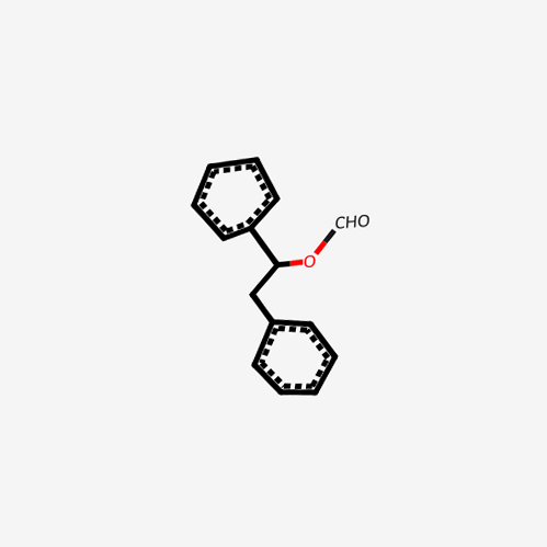 O=COC(Cc1ccccc1)c1ccccc1